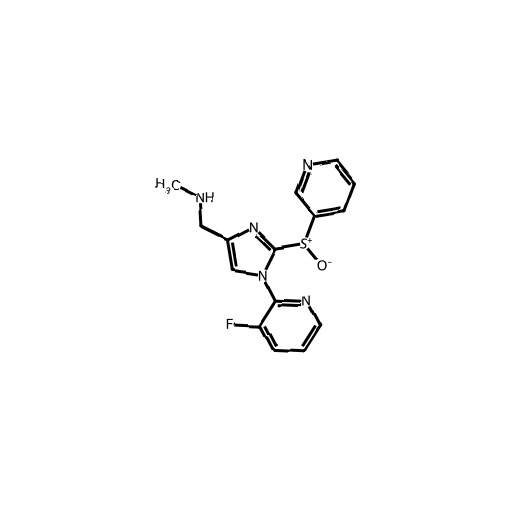 CNCc1cn(-c2ncccc2F)c([S+]([O-])c2cccnc2)n1